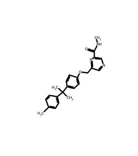 CNC(=O)c1cncc(COc2ccc(C(C)(C)c3ccc(C)cc3)cc2)n1